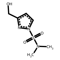 CN(C)S(=O)(=O)n1ccc(CO)n1